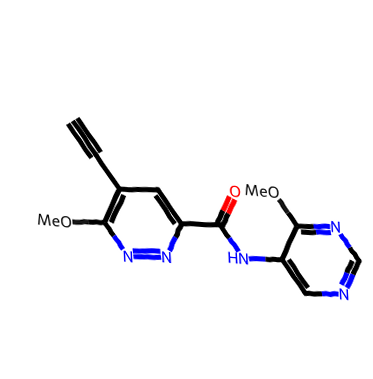 C#Cc1cc(C(=O)Nc2cncnc2OC)nnc1OC